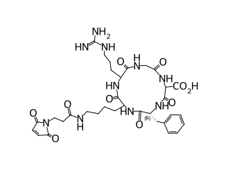 N=C(N)NCCCC1NC(=O)C(CCCCNC(=O)CCN2C(=O)C=CC2=O)NC(=O)[C@@H](Cc2ccccc2)NC(=O)C(C(=O)O)NC(=O)CNC1=O